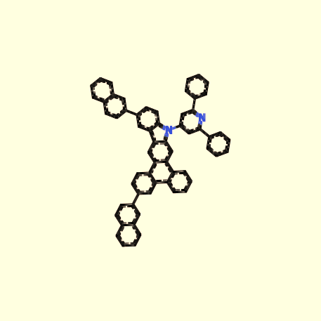 c1ccc(-c2cc(-n3c4ccc(-c5ccc6ccccc6c5)cc4c4cc5c6ccc(-c7ccc8ccccc8c7)cc6c6ccccc6c5cc43)cc(-c3ccccc3)n2)cc1